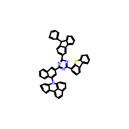 c1ccc(C2c3ccccc3-c3cc(-c4nc(-c5cc(N6c7ccccc7-c7cccc8cccc6c78)c6ccccc6c5)nc(-c5cccc6c5sc5ccccc56)n4)ccc32)cc1